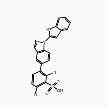 O=S(=O)(O)c1c(Cl)ccc(-c2ccc3c(cnn3-c3cc4ccccc4[nH]3)c2)c1Cl